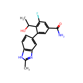 Cc1nc2cc(-c3cc(C(N)=O)cc(F)c3C(C)O)ccc2[nH]1